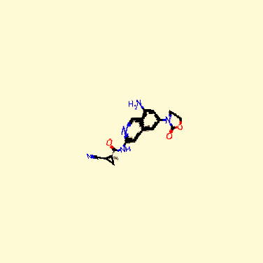 N#CC1C[C@H]1C(=O)Nc1cc2cc(N3CCOC3=O)cc(N)c2cn1